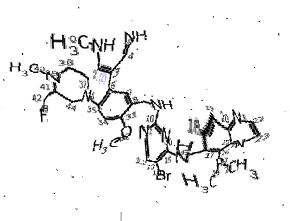 CN/C=C(\C=N)c1cc(Nc2ncc(Br)c(Nc3ccc4nccnc4c3P(C)C)n2)c(OC)cc1N1CCN(C)C(CF)C1